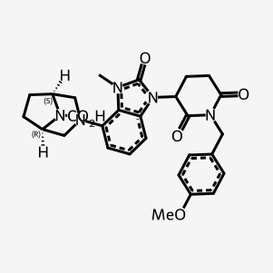 COc1ccc(CN2C(=O)CCC(n3c(=O)n(C)c4c(N5C[C@H]6CC[C@@H](C5)N6C(=O)O)cccc43)C2=O)cc1